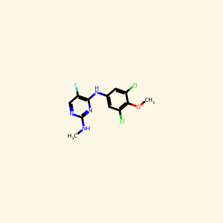 CNc1ncc(F)c(Nc2cc(Cl)c(OC)c(Cl)c2)n1